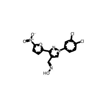 O=[N+]([O-])c1ccc(-c2nn(-c3ccc(Cl)c(Cl)c3)cc2C=NO)o1